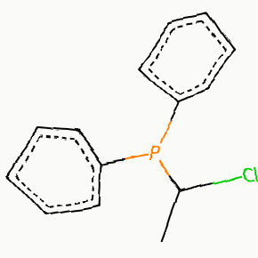 CC(Cl)P(c1ccccc1)c1ccccc1